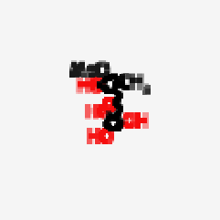 COc1cc(C)c(CC(=O)Cc2c(O)cc(O)cc2O)cc1O